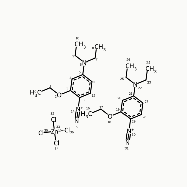 CCOc1cc(N(CC)CC)ccc1[N+]#N.CCOc1cc(N(CC)CC)ccc1[N+]#N.[Cl][Zn-2]([Cl])([Cl])[Cl]